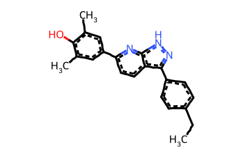 CCc1ccc(-c2n[nH]c3nc(-c4cc(C)c(O)c(C)c4)ccc23)cc1